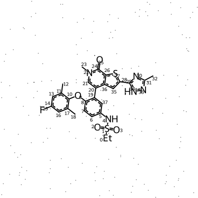 CCS(=O)(=O)Nc1ccc(Oc2c(C)cc(F)cc2C)c(-c2cn(C)c(=O)c3sc(-c4nc(C)n[nH]4)cc23)c1